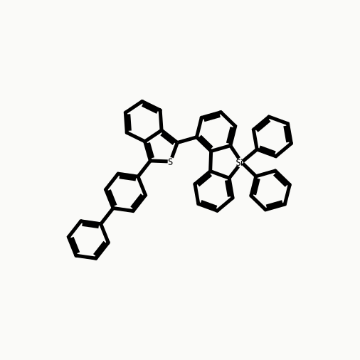 c1ccc(-c2ccc(-c3sc(-c4cccc5c4-c4ccccc4[Si]5(c4ccccc4)c4ccccc4)c4ccccc34)cc2)cc1